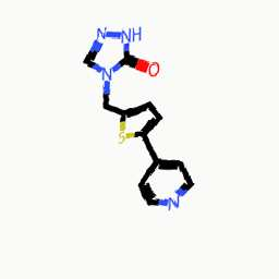 O=c1[nH]ncn1Cc1ccc(-c2ccncc2)s1